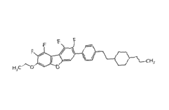 CCCC1CCC(CCc2ccc(-c3cc4oc5cc(OCC)c(F)c(F)c5c4c(F)c3F)cc2)CC1